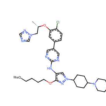 COCCCCOc1nn(C2CCC(N3CCOCC3)CC2)cc1Nc1ncc(-c2ccc(Cl)c(O[C@@H](C)Cn3cncn3)c2)cn1